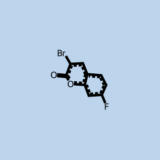 O=c1oc2cc(F)ccc2cc1Br